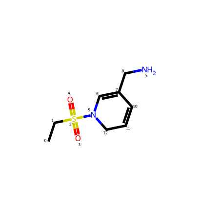 CCS(=O)(=O)N1C=C(CN)C=CC1